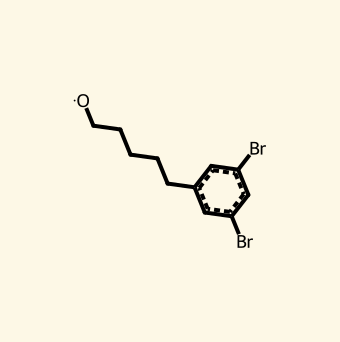 [O]CCCCCc1cc(Br)cc(Br)c1